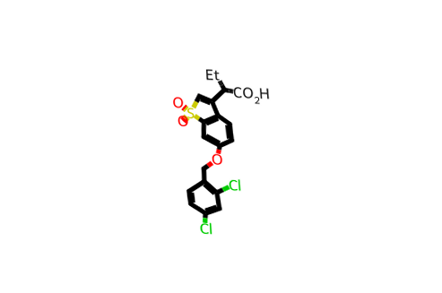 CCC(C(=O)O)C1=CS(=O)(=O)c2cc(OCc3ccc(Cl)cc3Cl)ccc21